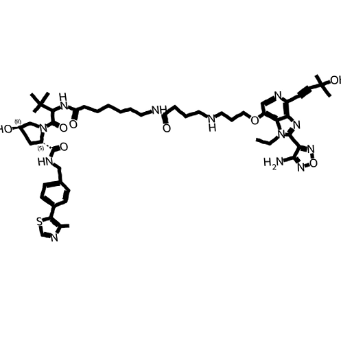 CCn1c(-c2nonc2N)nc2c(C#CC(C)(C)O)ncc(OCCCNCCCC(=O)NCCCCCCC(=O)NC(C(=O)N3C[C@H](O)C[C@H]3C(=O)NCc3ccc(-c4scnc4C)cc3)C(C)(C)C)c21